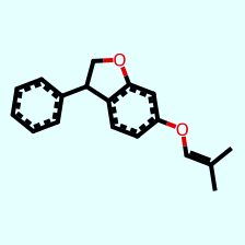 CC(C)=COc1ccc2c(c1)OCC2c1ccccc1